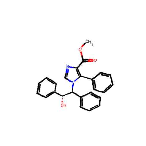 COC(=O)c1ncn([C@@H](c2ccccc2)[C@H](O)c2ccccc2)c1-c1ccccc1